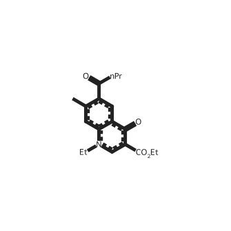 CCCC(=O)c1cc2c(=O)c(C(=O)OCC)cn(CC)c2cc1C